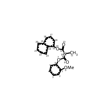 COc1ccccc1OC(=O)N(C)C(=O)Oc1cccc2ccccc12